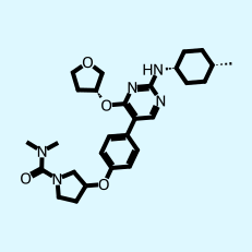 CN(C)C(=O)N1CCC(Oc2ccc(-c3cnc(N[C@H]4CC[C@@H](C)CC4)nc3O[C@@H]3CCOC3)cc2)C1